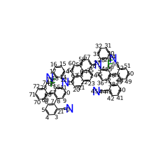 N#Cc1ccccc1-c1ccc(N(c2ccccc2)c2ccc3ccc4c(N(c5ccccc5)c5ccc(-c6ccccc6C#N)c(-c6ccccc6C#N)c5F)ccc5ccc2c3c54)c(F)c1-c1ccccc1C#N